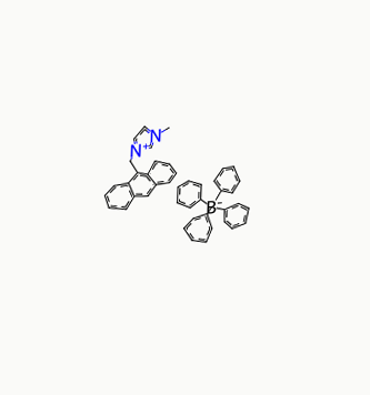 Cn1cc[n+](Cc2c3ccccc3cc3ccccc23)c1.c1ccc([B-](c2ccccc2)(c2ccccc2)c2ccccc2)cc1